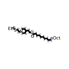 CCCCCCCC/C=C\CCCCCCCC(=O)OCCC1CCN(CCSSCC)CC1